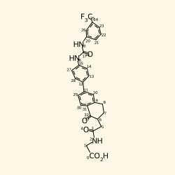 O=C(O)CNC(=O)CC1CCc2cc(-c3ccc(NC(=O)Nc4cccc(C(F)(F)F)c4)cc3)ccc2C1=O